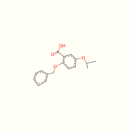 CC(C)Oc1ccc(OCc2ccccc2)c(C(=O)O)c1